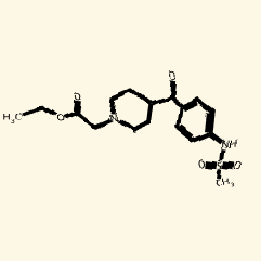 CCOC(=O)CN1CCC(C(=O)c2ccc(NS(C)(=O)=O)cc2)CC1